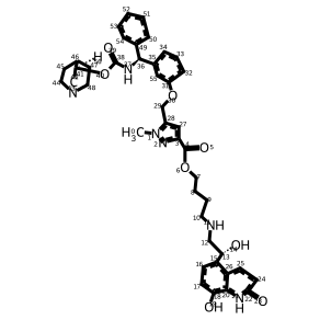 Cn1nc(C(=O)OCCCCNC[C@H](O)c2ccc(O)c3[nH]c(=O)ccc23)cc1COc1cccc([C@@H](NC(=O)O[C@H]2CN3CCC2CC3)c2ccccc2)c1